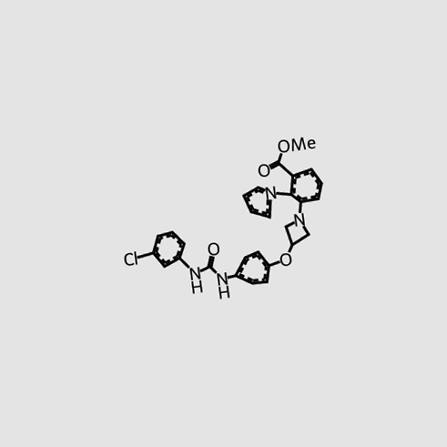 COC(=O)c1cccc(N2CC(Oc3ccc(NC(=O)Nc4cccc(Cl)c4)cc3)C2)c1-n1cccc1